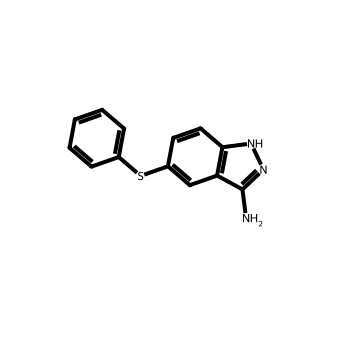 Nc1n[nH]c2ccc(Sc3ccccc3)cc12